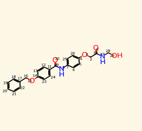 O=C(COc1ccc(NC(=O)c2ccc(OCc3ccccc3)cc2)cc1)NCO